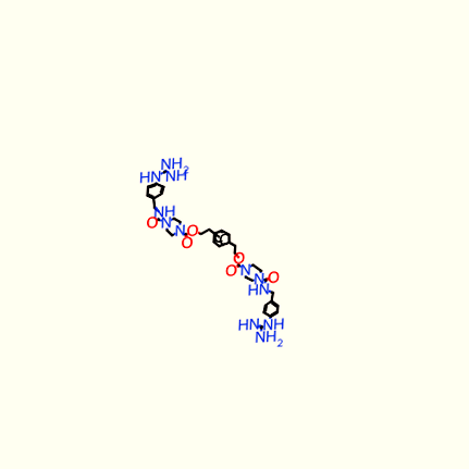 N=C(N)Nc1ccc(CNC(=O)N2CCN(C(=O)OCCC34CCC(CCOC(=O)N5CCN(C(=O)NCc6ccc(NC(=N)N)cc6)CC5)(CC3)CC4)CC2)cc1